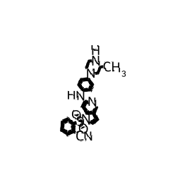 CC1CN(c2ccc(Nc3cc4c(ccn4S(=O)(=O)c4ccccc4C#N)cn3)cc2)CCN1